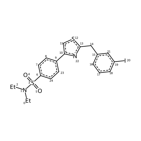 CCN(CC)S(=O)(=O)c1ccc(-c2csc(Cc3cccc(I)c3)n2)cc1